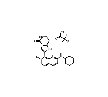 O=C(O)C(F)(F)F.O=C1NCCc2[nH]c(-c3c(F)ccc4ccc(NC5CCCCC5)nc34)cc21